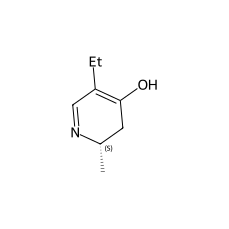 CCC1=C(O)C[C@H](C)N=C1